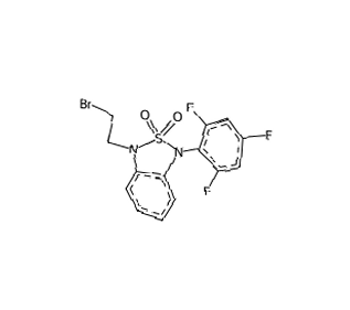 O=S1(=O)N(CCBr)c2ccccc2N1c1c(F)cc(F)cc1F